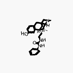 C[C@H]1[C@@H]2N(C)CC23Cc2ccc(O)cc2[C@@]1(CCNC(=O)Nc1ccccc1)C3